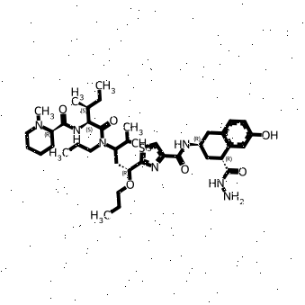 CCCO[C@H](CC(C(C)C)N(CCC)C(=O)[C@@H](NC(=O)[C@H]1CCCCN1C)[C@@H](C)CC)c1nc(C(=O)N[C@H]2Cc3ccc(O)cc3[C@H](C(=O)NN)C2)cs1